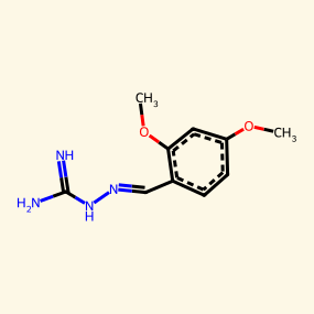 COc1ccc(C=NNC(=N)N)c(OC)c1